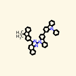 CC1(C)c2ccccc2-c2cc(-c3nc(-n4c5ccccc5c5cc(-c6ccc7c8ccccc8n(-c8ccccc8)c7c6)ccc54)nc4c3ccc3ccccc34)ccc21